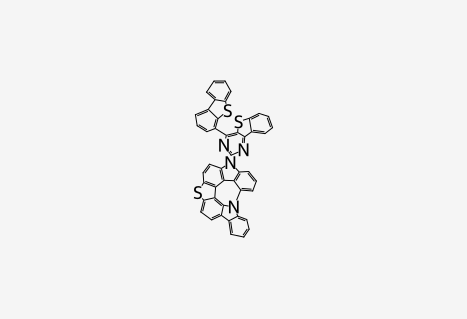 c1ccc2c(c1)sc1c(-c3nc(-n4c5ccc6sc7ccc8c9ccccc9n9c%10cccc4c%10c5c6c7c89)nc4c3sc3ccccc34)cccc12